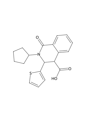 O=C(O)C1c2ccccc2C(=O)N(C2CCCC2)C1c1cccs1